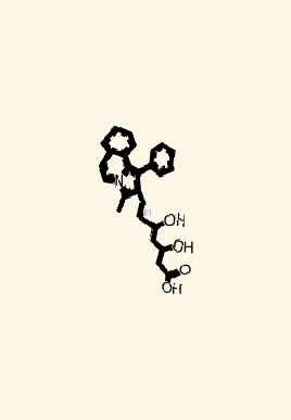 Cc1c(/C=C/C(O)CC(O)CC(=O)O)c(-c2ccccc2)c2c3ccccc3ccn12